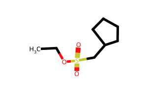 CCOS(=O)(=O)CC1CCCC1